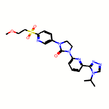 COCCS(=O)(=O)c1ccc(N2CCN(c3cccc(-c4nncn4C(C)C)n3)C2=O)cn1